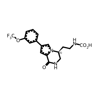 O=C(O)NCC[C@H]1CNC(=O)c2cc(-c3cccc(OC(F)(F)F)c3)cn21